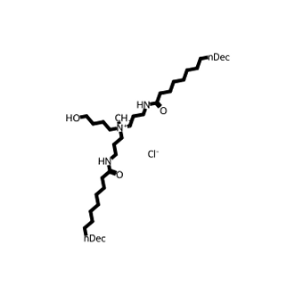 CCCCCCCCCCCCCCCCCC(=O)NCCC[N+](C)(CCCCO)CCCNC(=O)CCCCCCCCCCCCCCCCC.[Cl-]